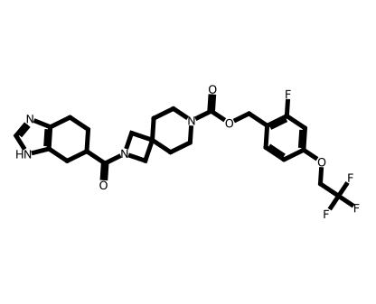 O=C(OCc1ccc(OCC(F)(F)F)cc1F)N1CCC2(CC1)CN(C(=O)C1CCc3nc[nH]c3C1)C2